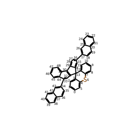 c1ccc2c(c1)Sc1ccccc1C21c2cc(-c3ccc4ccccc4c3)ccc2-c2c1cc(-c1ccc3ccccc3c1)c1ccccc21